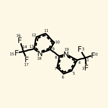 FC(F)(F)c1cccc(-c2cccc(C(F)(F)F)n2)n1